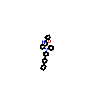 c1ccc(-c2ccc(-c3ccc(N(c4ccccc4)c4cccc5nc6c(cc45)oc4ccccc46)cc3)cc2)cc1